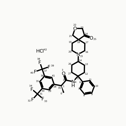 C[C@H](C(=O)NC1(c2ccccc2)CCC(N2CCC3(CC2)COCC3=O)CC1)c1cc(C(F)(F)F)cc(C(F)(F)F)c1.Cl